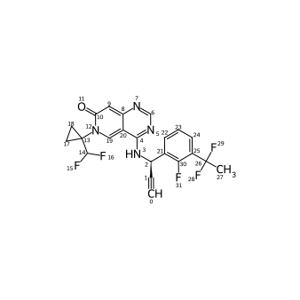 C#C[C@@H](Nc1ncnc2cc(=O)n(C3(C(F)F)CC3)cc12)c1cccc(C(C)(F)F)c1F